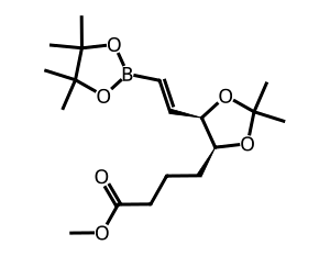 COC(=O)CCC[C@@H]1OC(C)(C)O[C@@H]1/C=C/B1OC(C)(C)C(C)(C)O1